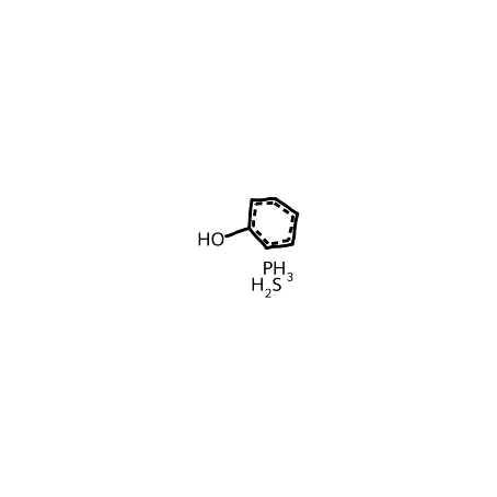 Oc1ccccc1.P.S